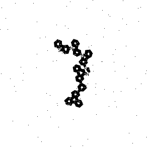 c1cc(-c2ccc3c4ccccc4c4ccccc4c3c2)cc(-c2ccc3c4ccccc4c4c(ncc[n+]4-c4ccc5c(c4)c4ccccc4n5-c4ccc5c(c4)c4ccccc4n5-c4ccc5sc6ccccc6c5c4)c3c2)c1